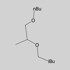 CCCCOCC(C)OCC(C)CC